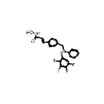 O=C(/C=C/c1ccc(CN(Sc2cc(F)c(F)c(F)c2F)c2ccccc2)cc1)NO